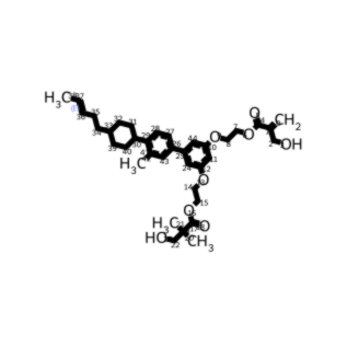 C=C(CO)C(=O)OCCOc1cc(OCCOC(=O)C(C)(C)CO)cc(-c2ccc(C3CCC(CC/C=C/C)CC3)c(C)c2)c1